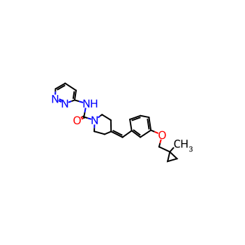 CC1(COc2cccc(C=C3CCN(C(=O)Nc4cccnn4)CC3)c2)CC1